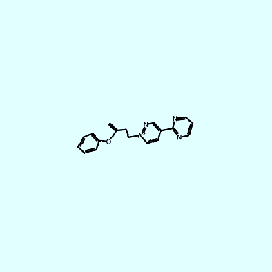 C=C(CC[n+]1ccc(-c2ncccn2)cn1)Oc1ccccc1